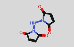 O=C1C=CC(=O)N1NN1C(=O)C=CC1=O